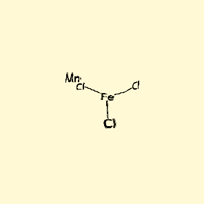 [Cl][Fe]([Cl])[Cl].[Mn]